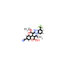 COC(=O)C1=C(N)N(c2cccc(C(F)(F)F)c2)C(C)=C(C(=O)O)C1c1ccc(C#N)cc1